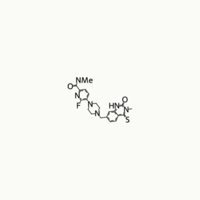 CNC(=O)c1ccc(N2CCN(Cc3ccc4c(=S)n(C)c(=O)[nH]c4c3)CC2)c(F)n1